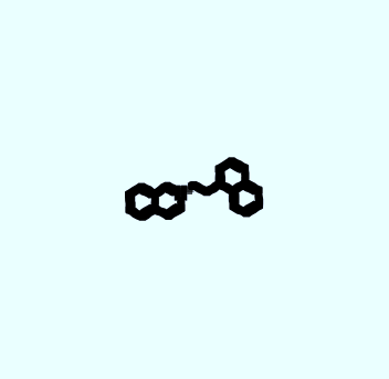 c1ccc2c[n+](CCc3cccc4ccccc34)ccc2c1